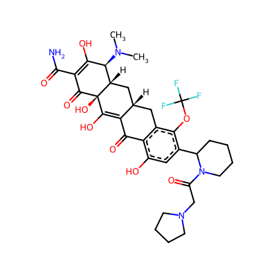 CN(C)[C@@H]1C(O)=C(C(N)=O)C(=O)[C@@]2(O)C(O)=C3C(=O)c4c(O)cc(C5CCCCN5C(=O)CN5CCCC5)c(OC(F)(F)F)c4C[C@H]3C[C@@H]12